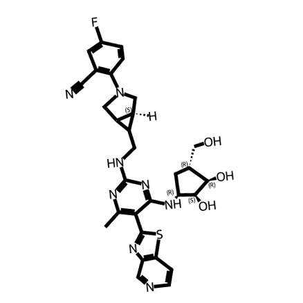 Cc1nc(NCC2C3CN(c4ccc(F)cc4C#N)C[C@@H]23)nc(N[C@@H]2C[C@H](CO)[C@@H](O)[C@H]2O)c1-c1nc2cnccc2s1